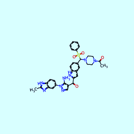 CC(=O)N1CCN(C(c2ccc3[nH]c(C(=O)c4cnn(-c5ccc6[nH]c(C)nc6c5)c4N)cc3c2)S(=O)(=O)c2ccccc2)CC1